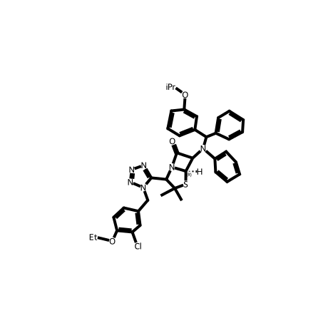 CCOc1ccc(Cn2nnnc2C2N3C(=O)C(N(c4ccccc4)C(c4ccccc4)c4cccc(OC(C)C)c4)[C@H]3SC2(C)C)cc1Cl